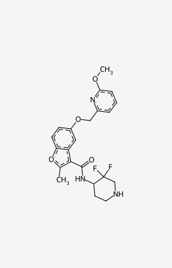 COc1cccc(COc2ccc3oc(C)c(C(=O)NC4CCNCC4(F)F)c3c2)n1